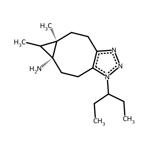 CCC(CC)n1nnc2c1CC[C@@]1(N)C(C)[C@@]1(C)CC2